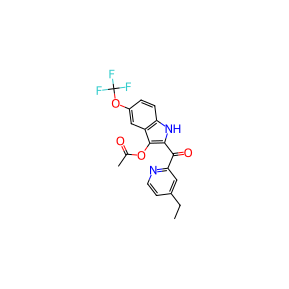 CCc1ccnc(C(=O)c2[nH]c3ccc(OC(F)(F)F)cc3c2OC(C)=O)c1